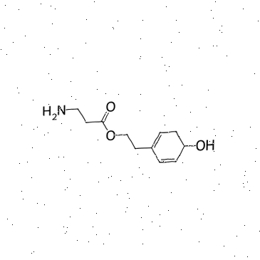 NCCC(=O)OCCC1=CCC(O)C=C1